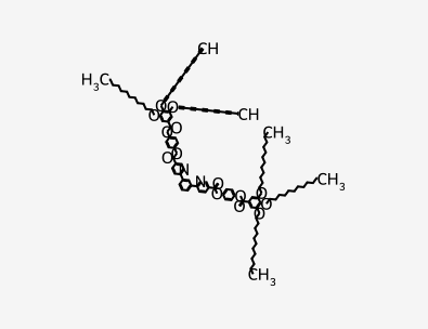 C#CC#CC#CC#CC#CC#COc1cc(C(=O)Oc2ccc(OC(=O)c3ccc(-c4cccc(-c5ccc(C(=O)Oc6ccc(OC(=O)c7cc(OCCCCCCCCCCCC)c(OCCCCCCCCCCCC)c(OCCCCCCCCCCCC)c7)cc6)cn5)c4)nc3)cc2)cc(OCCCCCCCCCCCC)c1OC#CC#CC#CC#CC#CC#C